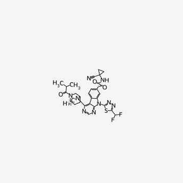 CC(C)C(=O)N1CC2CC[C@@H]1CN2c1ncnc2c1c1ccc(S(=O)(=O)NC3(C#N)CC3)cc1n2-c1nnc(C(F)F)s1